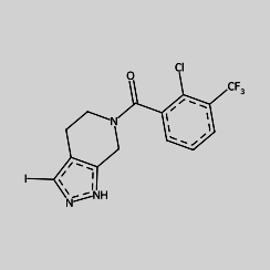 O=C(c1cccc(C(F)(F)F)c1Cl)N1CCc2c(I)n[nH]c2C1